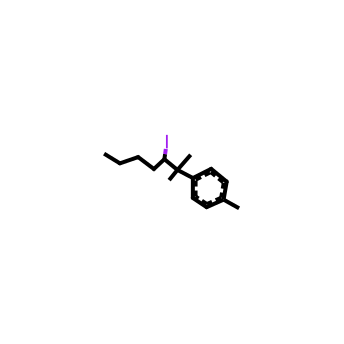 CCCCC(I)C(C)(C)c1ccc(C)cc1